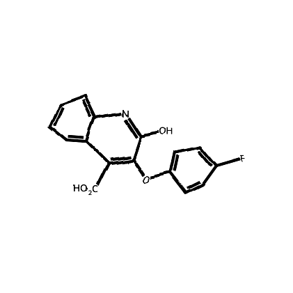 O=C(O)c1c(Oc2ccc(F)cc2)c(O)nc2ccccc12